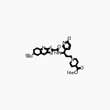 COC(=O)C1CCN(CCC(NC(=O)c2nc3cc4c(nc3s2)CC[C@H](C(C)(C)C)C4)c2ccc(Cl)nc2)CC1